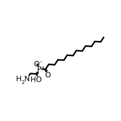 CCCCCCCCCCCCCC(=O)/[P+]([O-])=C(\O)CN